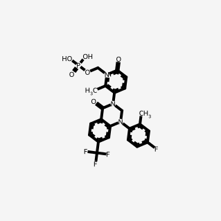 Cc1cc(F)ccc1N1CN(c2ccc(=O)n(COP(=O)(O)O)c2C)C(=O)c2ccc(C(F)(F)F)cc21